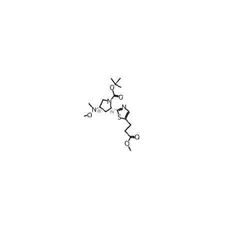 COC(=O)CCc1cnc([C@@H]2C[C@H](N(C)OC)CN2C(=O)OC(C)(C)C)s1